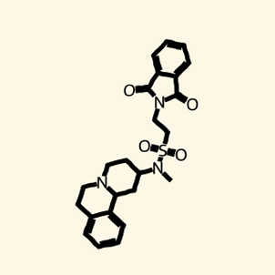 CN(C1CCN2CCc3ccccc3C2C1)S(=O)(=O)CCN1C(=O)c2ccccc2C1=O